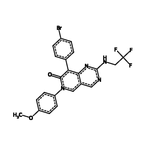 COc1ccc(-n2cc3cnc(NCC(F)(F)F)nc3c(-c3ccc(Br)cc3)c2=O)cc1